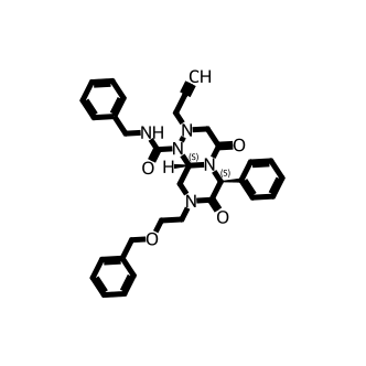 C#CCN1CC(=O)N2[C@@H](c3ccccc3)C(=O)N(CCOCc3ccccc3)C[C@@H]2N1C(=O)NCc1ccccc1